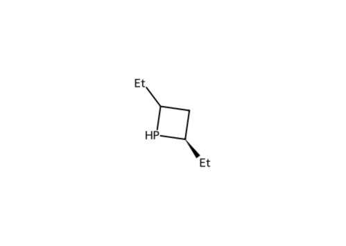 CCC1C[C@@H](CC)P1